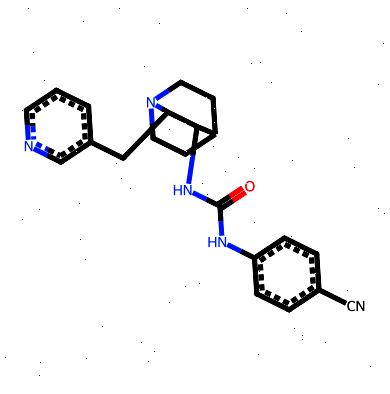 N#Cc1ccc(NC(=O)NC2C3CCN(CC3)C2Cc2cccnc2)cc1